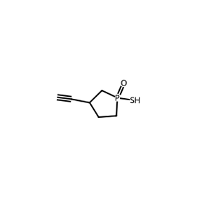 C#CC1CCP(=O)(S)C1